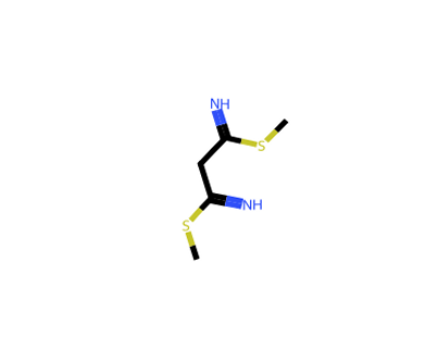 CSC(=N)CC(=N)SC